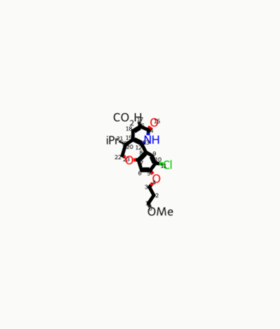 COCCCOc1cc2c(cc1Cl)-c1[nH]c(=O)c(C(=O)O)cc1[C@H](C(C)C)CO2